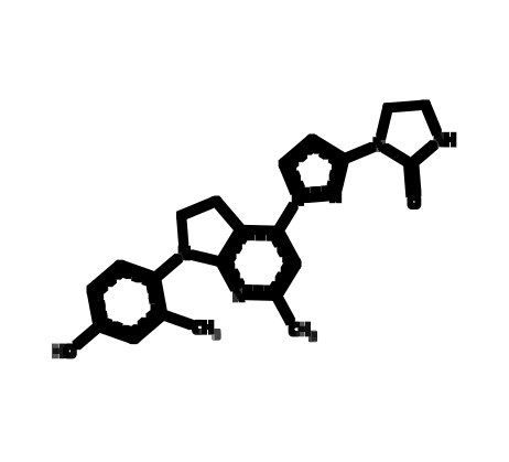 Cc1cc(-n2ccc(N3CCNC3=O)n2)c2c(n1)N(c1ccc(O)cc1C)CC2